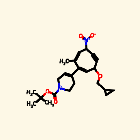 CC1=C/C([N+](=O)[O-])C#CC(OCC2CC2)/C=C\1C1=CCN(C(=O)OC(C)(C)C)CC1